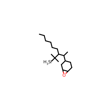 CCCCCCC(C(C)C1CCC2OC2C1)C(C)(C)[SiH3]